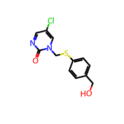 O=c1ncc(Cl)cn1CSc1ccc(CO)cc1